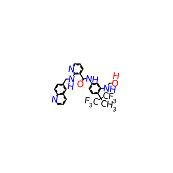 CC(c1ccc(NC(=O)c2cccnc2NCc2ccc3ncccc3c2)cc1NCO)(C(F)(F)F)C(F)(F)F